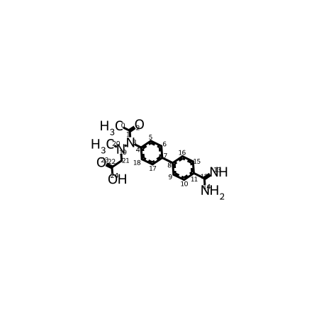 CC(=O)N(c1ccc(-c2ccc(C(=N)N)cc2)cc1)N(C)CC(=O)O